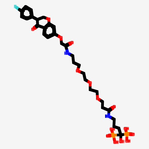 O=C(CCOCCOCCOCCCNC(=O)COc1ccc2c(c1)OCC(c1ccc(F)cc1)C2=O)NCCCC(O)(P(=O)(O)O)P(=O)(O)O